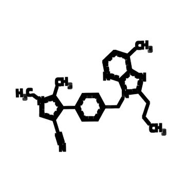 CCCc1nc2c(C)ccnc2n1Cc1ccc(-c2c(C#N)cn(C)c2C)cc1